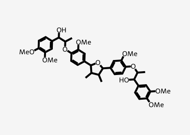 COc1ccc(C(O)C(C)Oc2ccc(C3OC(c4ccc(OC(C)C(O)c5ccc(OC)c(OC)c5)c(OC)c4)C(C)C3C)cc2OC)cc1OC